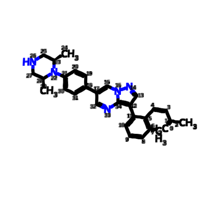 C=C(C)/C=C\c1c(C)cccc1-c1cnn2cc(-c3ccc(N4[C@H](C)CNC[C@@H]4C)cc3)cnc12